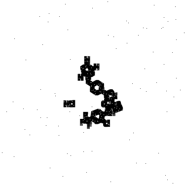 Cl.O=C(Nc1ccc(C(F)(F)F)cc1Cl)C1(n2cc(N3CCC(CN4C[C@H]5C[C@@H]4CN5)CC3)cn2)CCC1